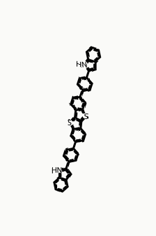 c1ccc2[nH]c(-c3ccc(-c4ccc5c(c4)sc4c6ccc(-c7ccc(-c8cc9ccccc9[nH]8)cc7)cc6sc54)cc3)cc2c1